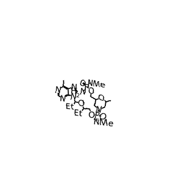 CCC(COP(=O)(NC)N1CC(C)OC(COP(N)(=O)NC)C1)OC(CC)n1cnc2c(C)ncnc21